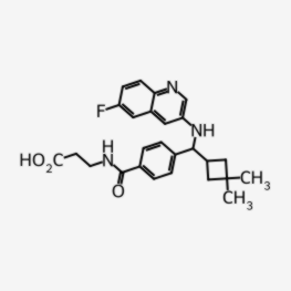 CC1(C)CC(C(Nc2cnc3ccc(F)cc3c2)c2ccc(C(=O)NCCC(=O)O)cc2)C1